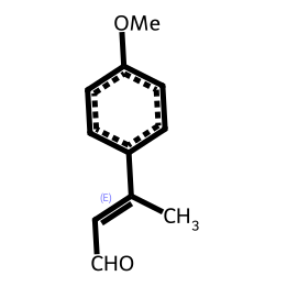 COc1ccc(/C(C)=C/C=O)cc1